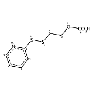 O=C(O)OCCSSc1ccccn1